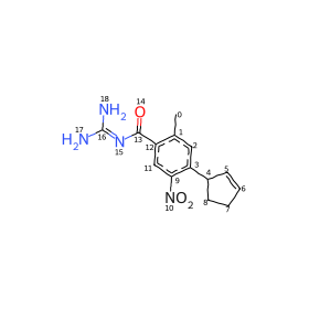 Cc1cc(C2C=CCC2)c([N+](=O)[O-])cc1C(=O)N=C(N)N